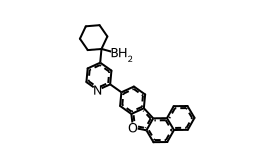 BC1(c2ccnc(-c3ccc4c(c3)oc3ccc5ccccc5c34)c2)CCCCC1